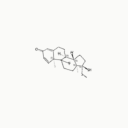 CS[C@@]1(S)CC[C@H]2[C@@H]3CCC4=CC(=O)C=C[C@]4(C)C3(F)CC[C@@]21C